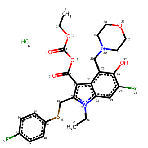 CCOC(=O)OC(=O)c1c(CSc2ccc(F)cc2)n(CC)c2cc(Br)c(O)c(CN3CCOCC3)c12.Cl